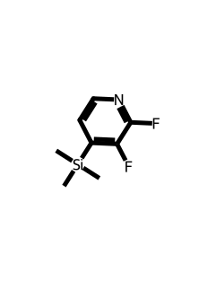 C[Si](C)(C)c1ccnc(F)c1F